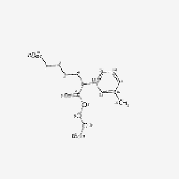 CCCCCCCCCCCCCCC(C(=O)OOOC(C)(C)C)c1cccc(C)c1